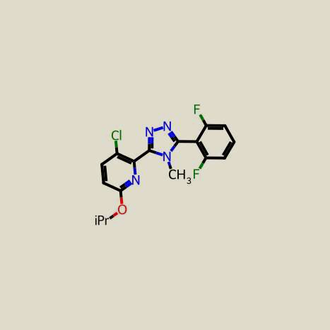 CC(C)Oc1ccc(Cl)c(-c2nnc(-c3c(F)cccc3F)n2C)n1